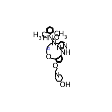 Cc1cccc(C)c1NC(=O)N1C/C=C\COCc2cc(ccc2OCCN2CCC(O)CC2)Nc2nccc1n2